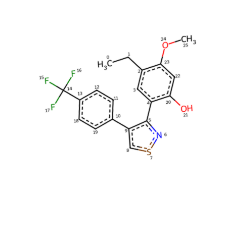 CCc1cc(-c2nscc2-c2ccc(C(F)(F)F)cc2)c(O)cc1OC